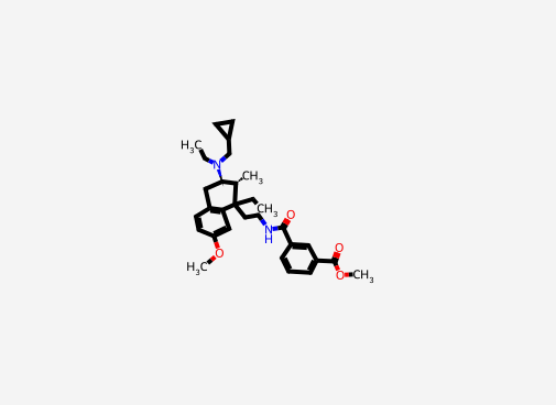 CCN(CC1CC1)[C@@H]1Cc2ccc(OC)cc2C(CC)(CCNC(=O)c2cccc(C(=O)OC)c2)[C@H]1C